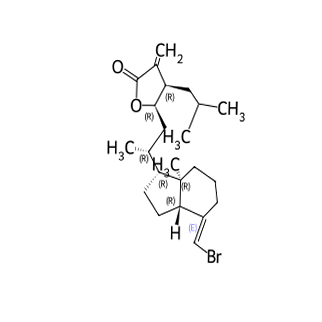 C=C1C(=O)O[C@H](C[C@@H](C)[C@H]2CC[C@H]3/C(=C/Br)CCC[C@]23C)[C@@H]1CC(C)C